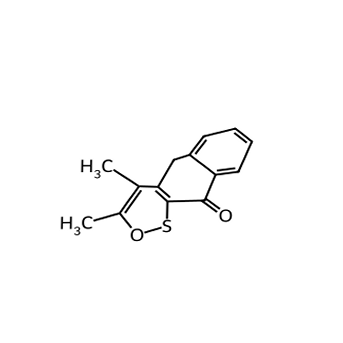 CC1=C(C)C2=C(SO1)C(=O)c1ccccc1C2